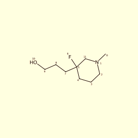 CN1CCCC(F)(CCCO)C1